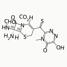 Cn1c(C(=S)C2=C(C(=O)O)N3C(=O)[C@](N)(NC=O)[C@@H]3SC2)nnc(O)c1=O